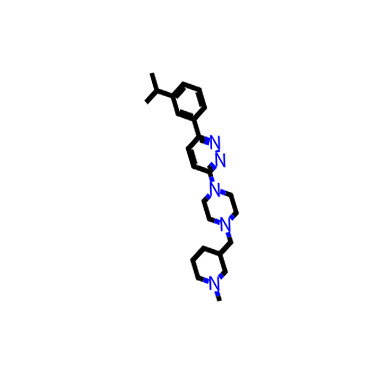 CC(C)c1cccc(-c2ccc(N3CCN(CC4CCCN(C)C4)CC3)nn2)c1